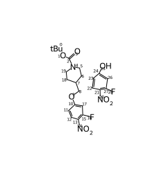 CC(C)(C)OC(=O)N1CCC(COc2ccc([N+](=O)[O-])c(F)c2)CC1.O=[N+]([O-])c1ccc(O)cc1F